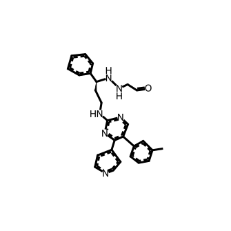 Cc1cccc(-c2cnc(NCC[C@H](NNCC=O)c3ccccc3)nc2-c2ccncc2)c1